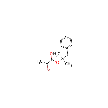 CC(Br)C(=O)OC(C)(C)Cc1ccccc1